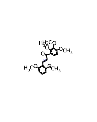 COc1cccc(OC)c1/C=C/C(=O)c1ccc(OC)c(OC)c1OC